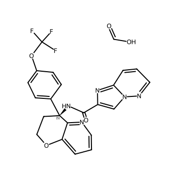 O=C(N[C@]1(c2ccc(OC(F)(F)F)cc2)CCOc2cccnc21)c1cn2ncccc2n1.O=CO